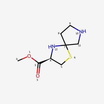 COC(=O)[C@@H]1CSC2(CCNC2)N1